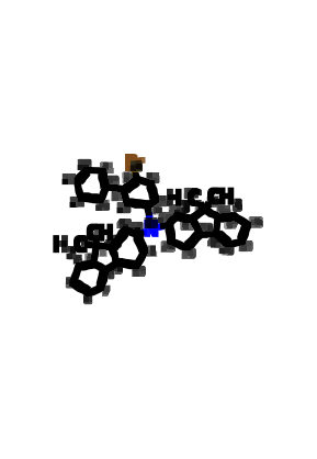 CC1(C)c2ccccc2-c2ccc(N(c3ccc(Br)c(-c4ccccc4)c3)c3ccc4c(c3)C(C)(C)c3ccccc3-4)cc21